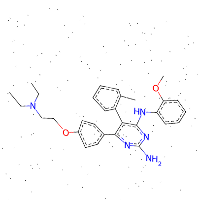 CCN(CC)CCOc1ccc(-c2nc(N)nc(Nc3ccccc3OC)c2-c2ccccc2C)cc1